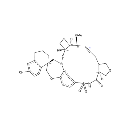 CO[C@H]1/C=C/CC2COC[C@H]2C(=O)NS(=O)(=O)c2ccc3c(c2)N(C[C@@H]2CC[C@H]21)C[C@@]1(CCCc2cc(Cl)ccc21)CO3